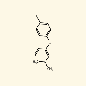 CN(C)C=C(C=O)Oc1ccc(F)cc1